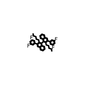 CCCCCc1c(-c2cc(F)cc(F)c2)cc2ccccc2c1-c1c(CCCCC)c(-c2cc(F)cc(F)c2)cc2ccccc12